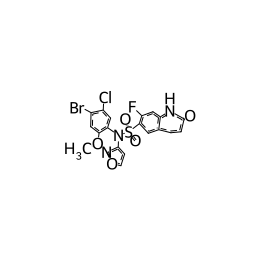 COc1cc(Br)c(Cl)cc1N(c1ccon1)S(=O)(=O)c1cc2ccc(=O)[nH]c2cc1F